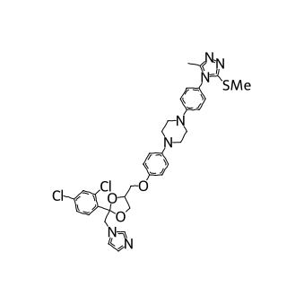 CSc1nnc(C)n1-c1ccc(N2CCN(c3ccc(OCC4COC(Cn5ccnc5)(c5ccc(Cl)cc5Cl)O4)cc3)CC2)cc1